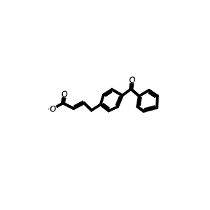 [O]C(=O)C=CCc1ccc(C(=O)c2ccccc2)cc1